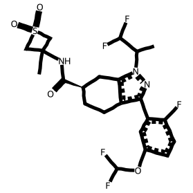 CC(C(F)F)n1nc(-c2cc(OC(F)F)ccc2F)c2c1C[C@H](C(=O)NC1(C)CS(=O)(=O)C1)CC2